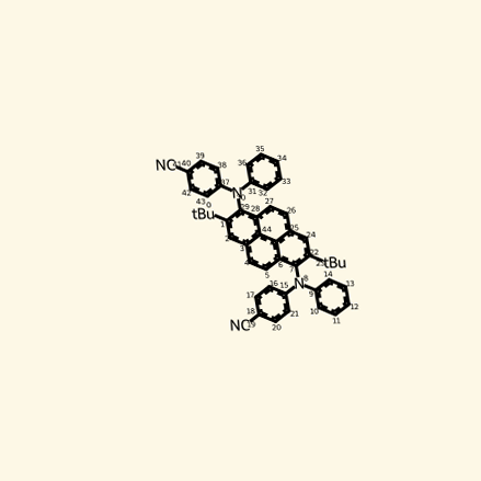 CC(C)(C)c1cc2ccc3c(N(c4ccccc4)c4ccc(C#N)cc4)c(C(C)(C)C)cc4ccc(c1N(c1ccccc1)c1ccc(C#N)cc1)c2c43